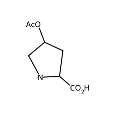 CC(=O)OC1C[N]C(C(=O)O)C1